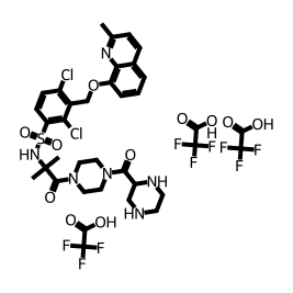 Cc1ccc2cccc(OCc3c(Cl)ccc(S(=O)(=O)NC(C)(C)C(=O)N4CCN(C(=O)C5CNCCN5)CC4)c3Cl)c2n1.O=C(O)C(F)(F)F.O=C(O)C(F)(F)F.O=C(O)C(F)(F)F